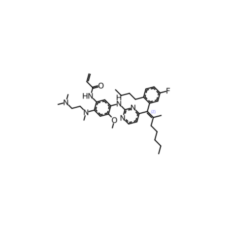 C=CC(=O)Nc1cc(Nc2nccc(/C(=C(/C)CCCCC)c3cc(F)ccc3CCCC)n2)c(OC)cc1N(C)CCN(C)C